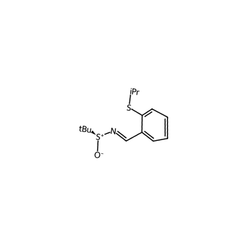 CC(C)Sc1ccccc1C=N[S@@+]([O-])C(C)(C)C